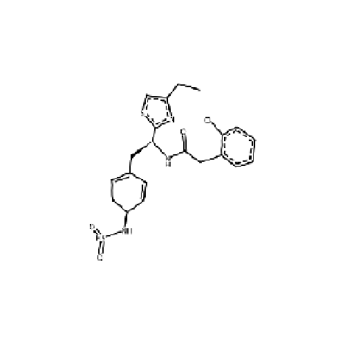 CCc1csc([C@H](CC2=CCC(N[SH](=O)=O)C=C2)NC(=O)Cc2ccccc2Cl)n1